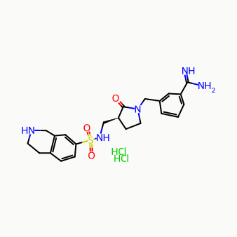 Cl.Cl.N=C(N)c1cccc(CN2CC[C@@H](CNS(=O)(=O)c3ccc4c(c3)CNCC4)C2=O)c1